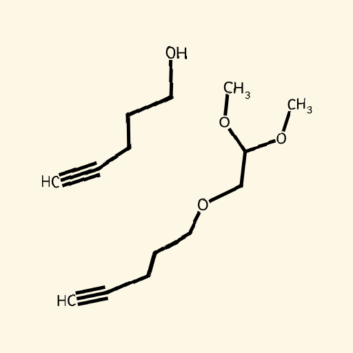 C#CCCCO.C#CCCCOCC(OC)OC